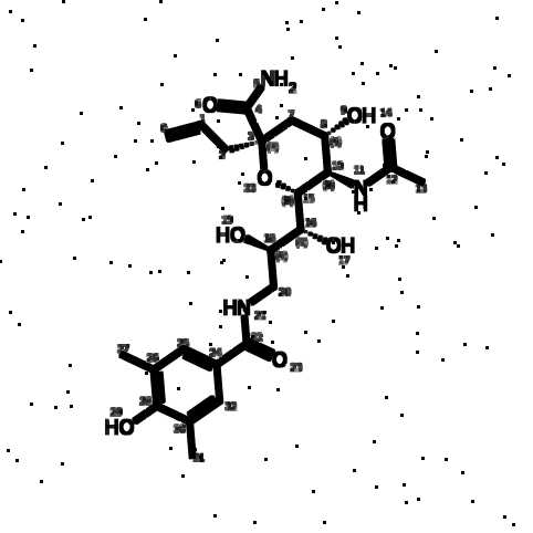 C=CC[C@]1(C(N)=O)C[C@H](O)[C@@H](NC(C)=O)[C@H]([C@H](O)[C@H](O)CNC(=O)c2cc(C)c(O)c(C)c2)O1